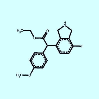 CCOC(=O)C(c1ccc(OC)cc1)c1ccc(F)c2c1CNC2